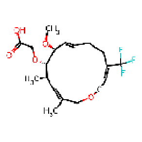 CO[C@H]1/C=C/CC/C(C(F)(F)F)=C\COC/C(C)=C\[C@@H](C)[C@@H]1OCC(=O)O